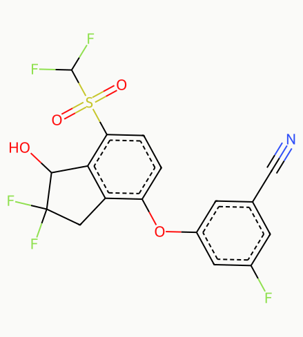 N#Cc1cc(F)cc(Oc2ccc(S(=O)(=O)C(F)F)c3c2CC(F)(F)C3O)c1